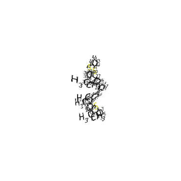 CC1(C)c2ccccc2Sc2c1ccc1c2-c2ccc(-c3cccc(-c4ccc5c(c4)C(C)(C)c4ccc6c(c4-5)Sc4ccccc4S6)c3)cc2C1(C)C